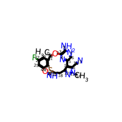 C[C@H]1Oc2nc(cnc2N)-c2c(nn(C)c2C#N)CCS(=N)(=O)c2ccc(F)cc21